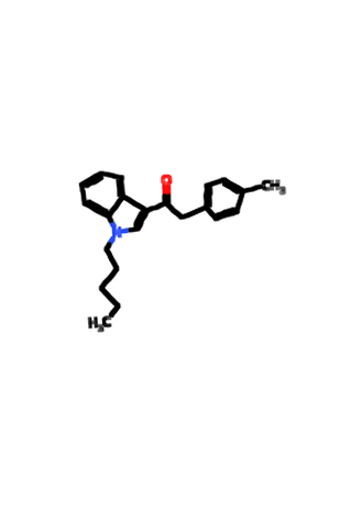 CCCCCn1cc(C(=O)Cc2ccc(C)cc2)c2ccccc21